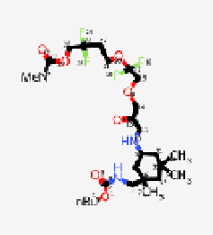 CCCCOC(=O)NCC1(C)CC(NCC(=O)COCC(F)(F)OCCC(F)(F)COC(=O)NC)CC(C)(C)C1